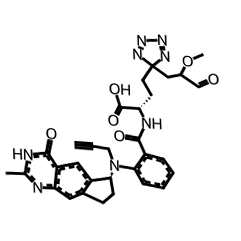 C#CCN(c1ccccc1C(=O)N[C@@H](CCC1(CC(C=O)OC)N=NN=N1)C(=O)O)[C@@H]1CCc2cc3nc(C)[nH]c(=O)c3cc21